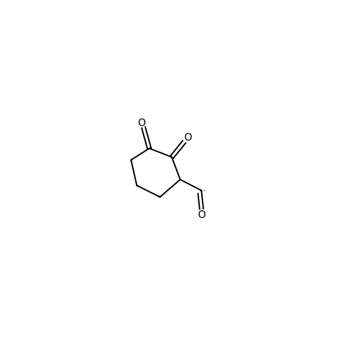 O=[C]C1CCCC(=O)C1=O